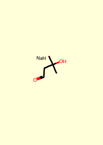 CC(C)(O)CC=O.[NaH]